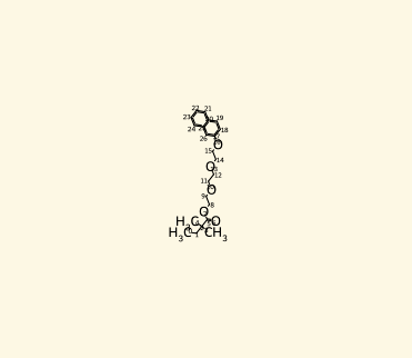 CCC(C)(C)C(=O)OCCOCCOCCOc1ccc2ccccc2c1